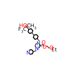 CCOCCOC(=O)[C@H]1CN(Cc2ccncc2)CCN1Cc1ccc(-c2ccc(C(C)(O)C(F)(F)F)cc2)cc1